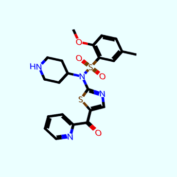 COc1ccc(C)cc1S(=O)(=O)N(c1ncc(C(=O)c2ccccn2)s1)C1CCNCC1